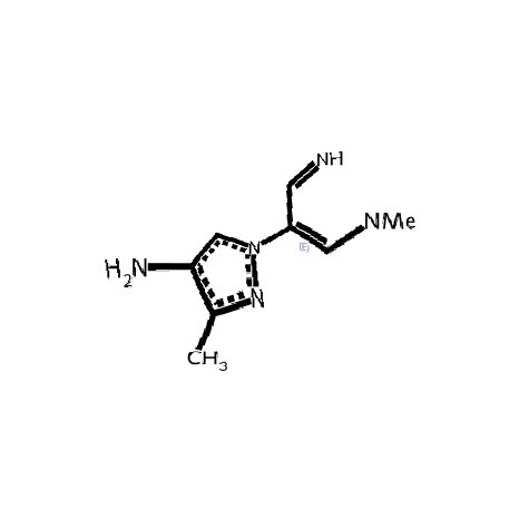 CN/C=C(\C=N)n1cc(N)c(C)n1